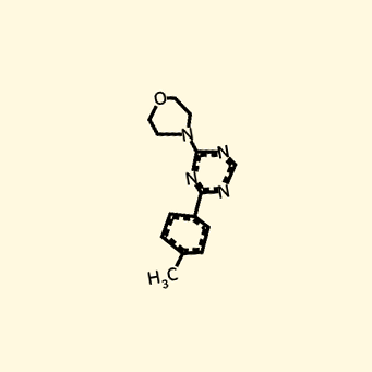 Cc1ccc(-c2ncnc(N3CCOCC3)n2)cc1